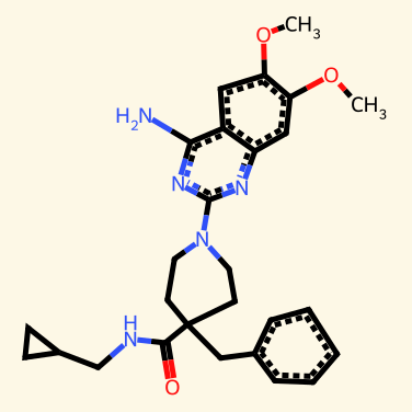 COc1cc2nc(N3CCC(Cc4ccccc4)(C(=O)NCC4CC4)CC3)nc(N)c2cc1OC